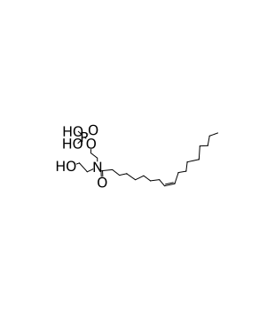 CCCCCCCC/C=C\CCCCCCCC(=O)N(CCO)CCOP(=O)(O)O